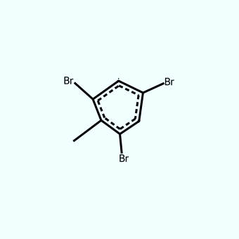 Cc1c(Br)[c]c(Br)cc1Br